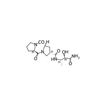 C[C@H](NC(=O)[C@H]1CCN(C(=O)[C@H]2CCCN2C(=O)O)C1)[C@@H](O)C(N)=O